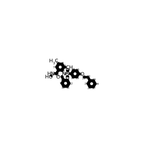 Cc1cc(C)c(N(Cc2ccccc2)S(=O)(=O)c2ccc(OCCc3ccccc3)cc2)c(C(=O)NO)c1